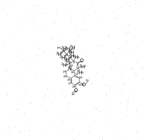 [2H]C1([2H])C(=O)C([2H])(C([2H])([2H])C([2H])(C([2H])([2H])[2H])C([2H])([2H])C)C([2H])([2H])N2CCc3cc(OC)c(OC)cc3C21